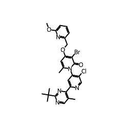 COc1cccc(COc2cc(C)n(-c3cc(-c4nc(C(C)(C)C)ncc4C)ncc3Cl)c(=O)c2Br)n1